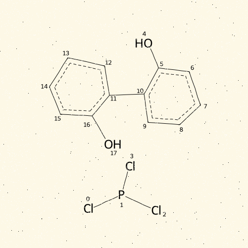 ClP(Cl)Cl.Oc1ccccc1-c1ccccc1O